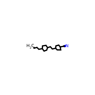 C=CCCC1CCC(CCC2CCC(C#N)CC2)CC1